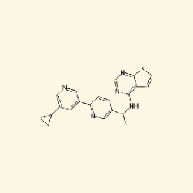 CC(Nc1ncnc2sccc12)c1ccc(-c2cncc(C3CC3)c2)nc1